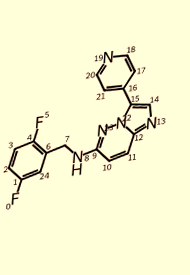 Fc1ccc(F)c(CNc2ccc3ncc(-c4ccncc4)n3n2)c1